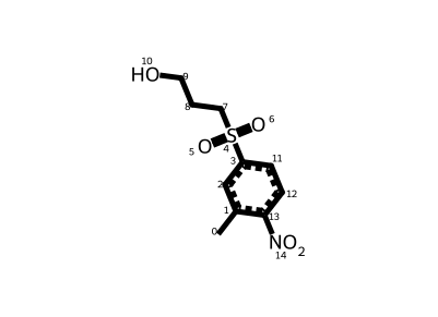 Cc1cc(S(=O)(=O)CCCO)ccc1[N+](=O)[O-]